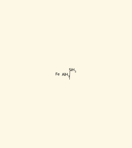 C[SiH3].[AlH3].[Fe]